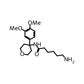 COc1ccc(C2(NC(=O)CCCCCN)CCOCC2)cc1OC